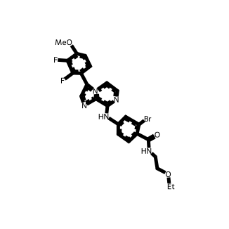 CCOCCNC(=O)c1ccc(Nc2nccn3c(-c4ccc(OC)c(F)c4F)cnc23)cc1Br